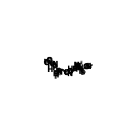 CCc1cnn2c(NCc3ccc(OCCCc4cc(-c5cnc([C@H](C)NC(=O)OC(C)(C)C)cc5C)cc(C(F)(F)F)n4)nc3)cc(N3CCCC[C@H]3CCO[Si](C)(C)C(C)(C)C)nc12